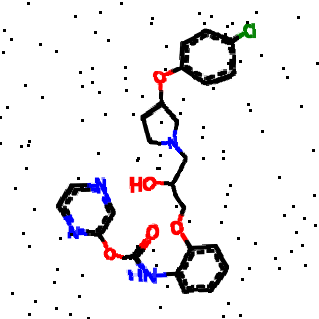 O=C(Nc1ccccc1OCC(O)CN1CCC(Oc2ccc(Cl)cc2)C1)Oc1cnccn1